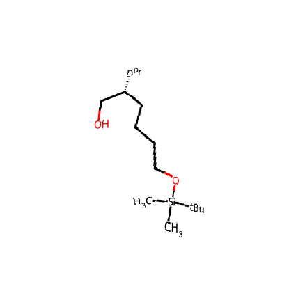 CCC[C@@H](CO)CCCCO[Si](C)(C)C(C)(C)C